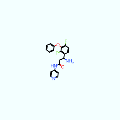 NC(CC(=O)Nc1ccncc1)c1ccc(F)c(Oc2ccccc2)c1F